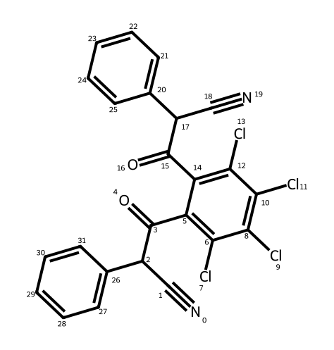 N#CC(C(=O)c1c(Cl)c(Cl)c(Cl)c(Cl)c1C(=O)C(C#N)c1ccccc1)c1ccccc1